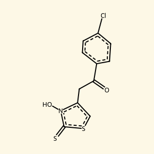 O=C(Cc1csc(=S)n1O)c1ccc(Cl)cc1